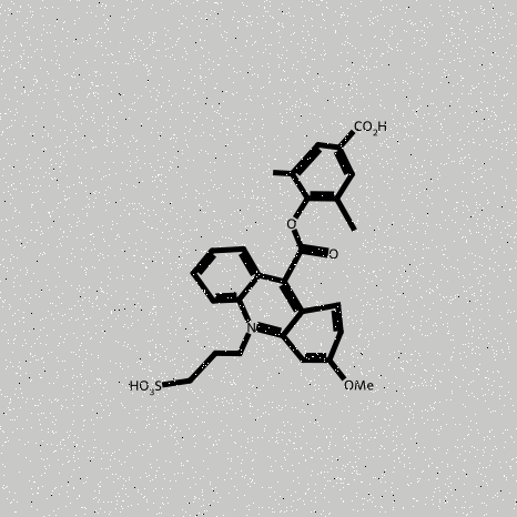 COc1ccc2c(C(=O)Oc3c(C)cc(C(=O)O)cc3C)c3ccccc3[n+](CCCS(=O)(=O)O)c2c1